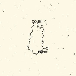 CCCCC/C=C\C/C=C\CCCCCCCC(=O)OCC.CCCCCCCC(=O)O